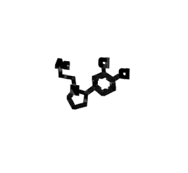 CC(=O)CCN1CCCC1c1ccc(Cl)c(Cl)c1